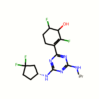 CC(C)Nc1nc(N[C@@H]2CCC(F)(F)C2)nc(C2=C(F)C(O)C(F)CC2)n1